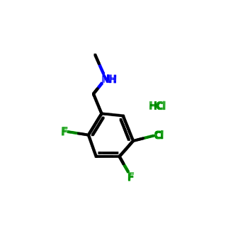 CNCc1cc(Cl)c(F)cc1F.Cl